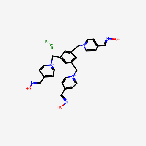 O/N=C/c1cc[n+](Cc2cc(C[n+]3ccc(/C=N/O)cc3)cc(C[n+]3ccc(/C=N/O)cc3)c2)cc1.[Br-].[Br-].[Br-]